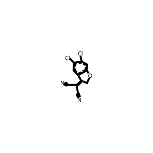 N#CC(C#N)=C1COc2cc(Cl)c(Cl)cc21